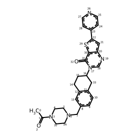 CC(=O)N1CCN(Cc2ccc3c(c2)CCC(n2cnc4cc(-c5ccncc5)sc4c2=O)C3)CC1